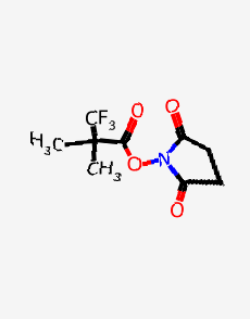 CC(C)(C(=O)ON1C(=O)CCC1=O)C(F)(F)F